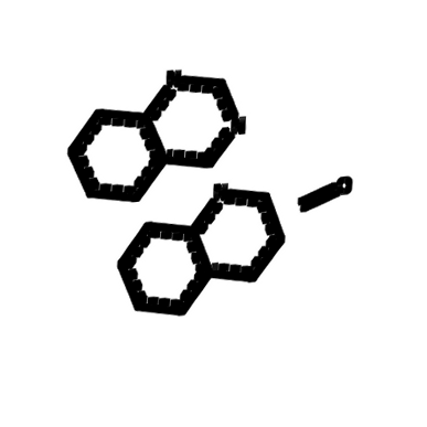 C=O.c1ccc2ncccc2c1.c1ccc2ncncc2c1